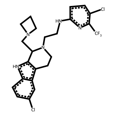 FC(F)(F)c1nc(NCCN2CCc3c([nH]c4ccc(Cl)cc34)C2CN2CCC2)ccc1Cl